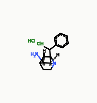 CC(c1ccccc1)[C@@H]1[C@@H](N)C2CCN1CC2.Cl.Cl